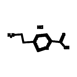 Cl.NCCc1ccc(C(=O)O)nc1